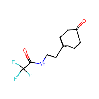 O=C1CCC(CCNC(=O)C(F)(F)F)CC1